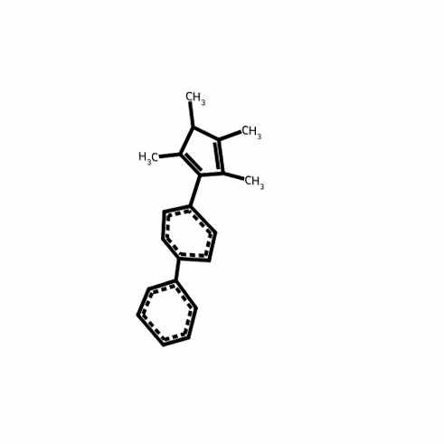 CC1=C(C)C(C)C(C)=C1c1ccc(-c2ccccc2)cc1